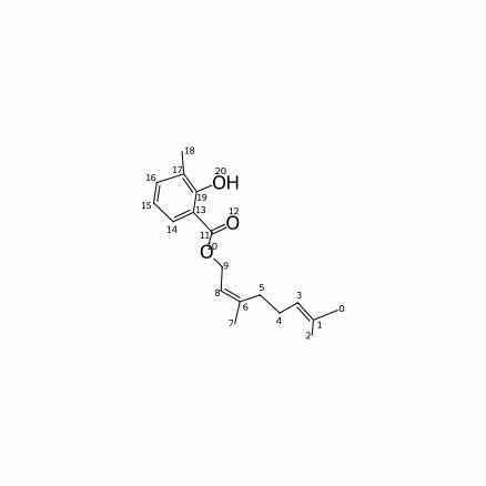 CC(C)=CCCC(C)=CCOC(=O)c1cccc(C)c1O